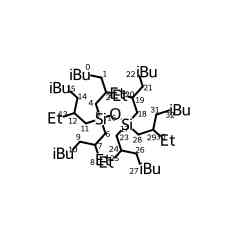 CCC(C)CC(CC)C[Si](CC(CC)CC(C)CC)(CC(CC)CC(C)CC)O[Si](CC(CC)CC(C)CC)(CC(CC)CC(C)CC)CC(CC)CC(C)CC